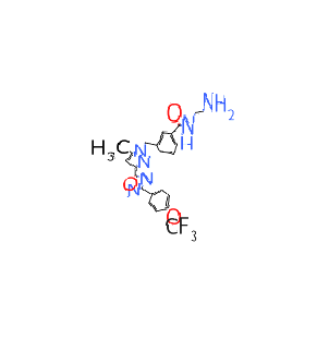 Cc1cc(-c2nc(-c3ccc(OC(F)(F)F)cc3)no2)nn1Cc1cccc(C(=O)NCCN)c1